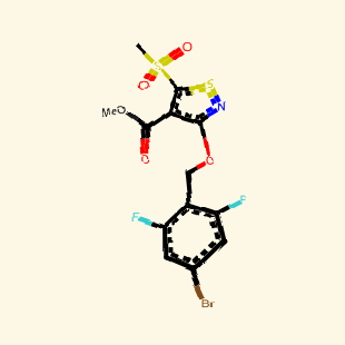 COC(=O)c1c(OCc2c(F)cc(Br)cc2F)nsc1S(C)(=O)=O